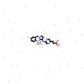 COc1ccc(F)cc1CN1CC[C@@H](Nc2cnc(C=CC(=O)O)cn2)C1